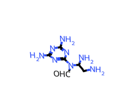 NCC(N)N(C=O)c1nc(N)nc(N)n1